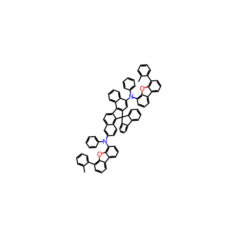 Cc1ccccc1-c1cccc2c1oc1c(N(c3ccccc3)c3ccc4c5c(ccc4c3)-c3c(cc(N(c4ccccc4)c4cccc6c4oc4c(-c7ccccc7C)cccc46)c4ccccc34)C53c4ccccc4-c4ccccc43)cccc12